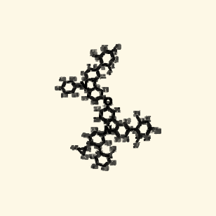 Cc1cc(C)c(-c2ccc3c(c2)c2cc(Oc4ccc5c(c4)c4cc(-c6c(C)cc(C)cc6C)ccc4n5-c4ccc(C5=CC5)c(-c5ccccc5C)c4)ccc2n3-c2ccccc2)c(C)c1